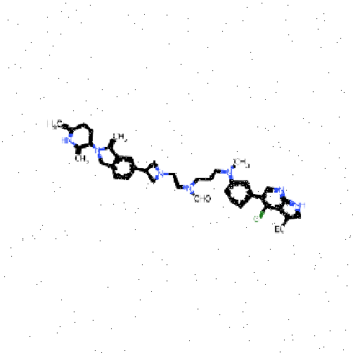 C=C1CCC(N2Cc3ccc(C4CN(CCN(C=O)CCCN(C)c5cccc(-c6cnc7[nH]cc(CC)c7c6Cl)c5)C4)cc3C2=C)C(=C)N1